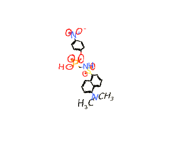 CN(C)c1cccc2c(S(=O)(=O)NCP(=O)(O)Oc3ccc([N+](=O)[O-])cc3)cccc12